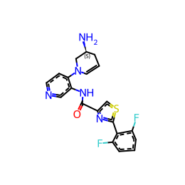 N[C@H]1CC=CN(c2ccncc2NC(=O)c2csc(-c3c(F)cccc3F)n2)C1